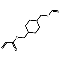 C=COCC1CCC(COC(=O)C=C)CC1